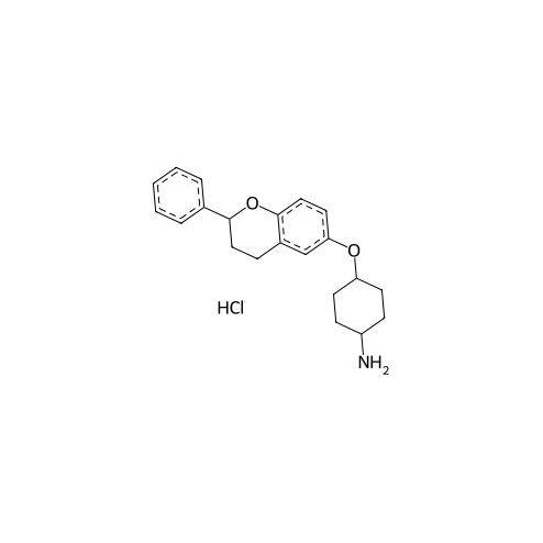 Cl.NC1CCC(Oc2ccc3c(c2)CCC(c2ccccc2)O3)CC1